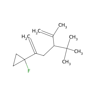 C=C(C)C(CC(=C)C1(F)CC1)C(C)(C)C